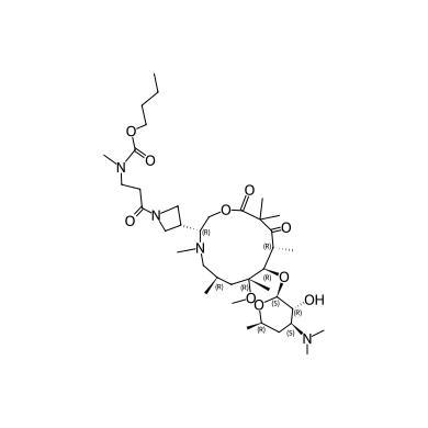 CCCCOC(=O)N(C)CCC(=O)N1CC([C@@H]2COC(=O)C(C)(C)C(=O)[C@H](C)[C@@H](O[C@@H]3O[C@H](C)C[C@H](N(C)C)[C@H]3O)[C@](C)(OC)C[C@@H](C)CN2C)C1